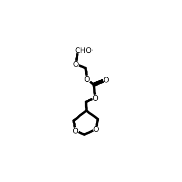 O=[C]OCOC(=O)OCC1COCOC1